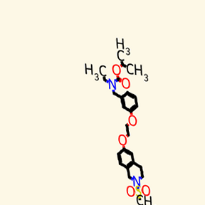 CCN(Cc1cccc(OCCOc2ccc3c(c2)CCN(S(C)(=O)=O)C3)c1)C(=O)OC(C)C